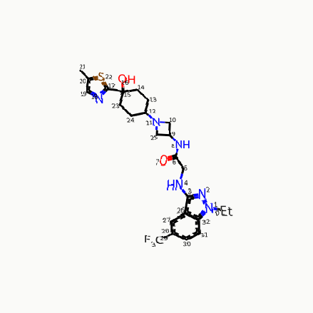 CCn1nc(NCC(=O)NC2CN(C3CCC(O)(c4ncc(C)s4)CC3)C2)c2cc(C(F)(F)F)ccc21